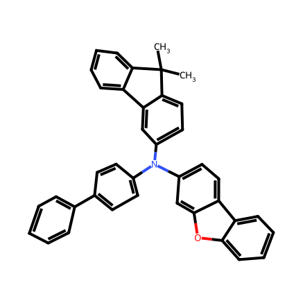 CC1(C)c2ccccc2-c2cc(N(c3ccc(-c4ccccc4)cc3)c3ccc4c(c3)oc3ccccc34)ccc21